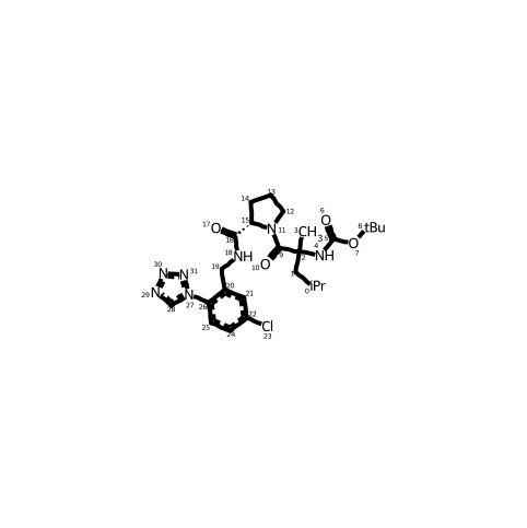 CC(C)CC(C)(NC(=O)OC(C)(C)C)C(=O)N1CCC[C@H]1C(=O)NCc1cc(Cl)ccc1-n1cnnn1